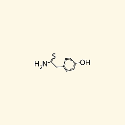 NC(=S)Cc1ccc(O)cc1